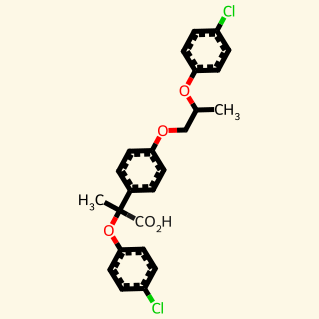 CC(COc1ccc(C(C)(Oc2ccc(Cl)cc2)C(=O)O)cc1)Oc1ccc(Cl)cc1